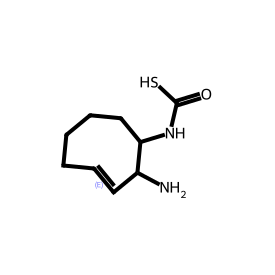 NC1/C=C/CCCCC1NC(=O)S